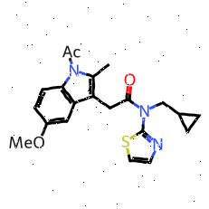 COc1ccc2c(c1)c(CC(=O)N(CC1CC1)c1nccs1)c(C)n2C(C)=O